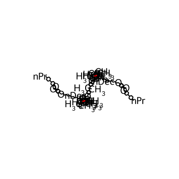 CCCCCCCCCCC(Oc1ccc(C(C)(C)c2ccc(OC(CCCCCCCCCC)[Si](C)(O[Si](C)(C)C)O[Si](C)(CCCCCCCCCCCOc3ccc(C(=O)OC4CCC(C5CCC(CCC)CC5)CC4)cc3)O[Si](C)(C)C)cc2)cc1)[Si](C)(O[Si](C)(C)C)O[Si](C)(CCCCCCCCCCCOc1ccc(C(=O)OC2CCC(C3CCC(CCC)CC3)CC2)cc1)O[Si](C)(C)C